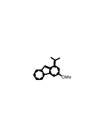 COc1cc2c(c(=C(C)C)c1)=[C]c1ccccc1-2